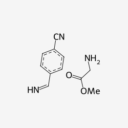 COC(=O)CN.N#Cc1ccc(C=N)cc1